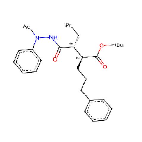 CC(=O)N(NC(=O)[C@H](CC(C)C)[C@H](CCCc1ccccc1)C(=O)OC(C)(C)C)c1ccccc1